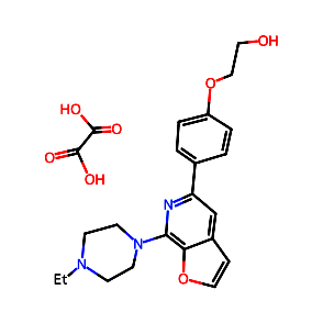 CCN1CCN(c2nc(-c3ccc(OCCO)cc3)cc3ccoc23)CC1.O=C(O)C(=O)O